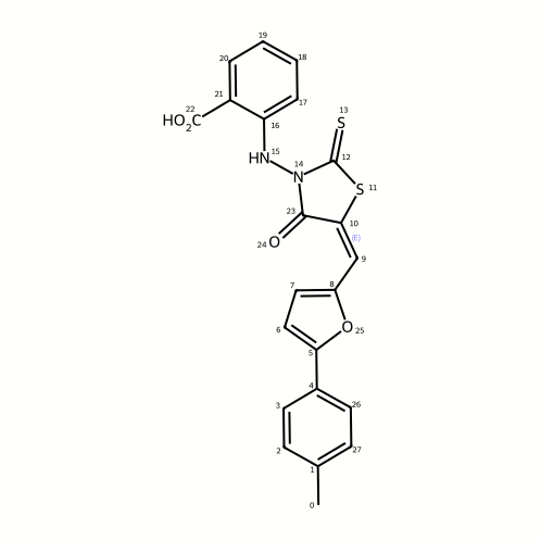 Cc1ccc(-c2ccc(/C=C3/SC(=S)N(Nc4ccccc4C(=O)O)C3=O)o2)cc1